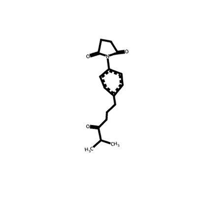 CC(C)C(=O)CCCc1ccc(N2C(=O)CCC2=O)cc1